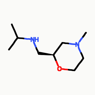 CC(C)NC[C@H]1CN(C)CCO1